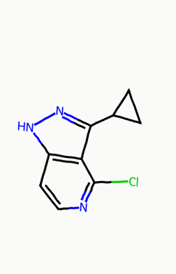 Clc1nccc2[nH]nc(C3CC3)c12